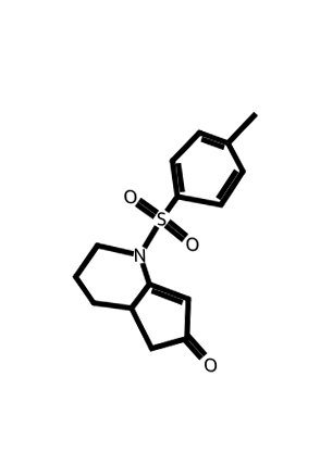 Cc1ccc(S(=O)(=O)N2CCCC3CC(=O)C=C32)cc1